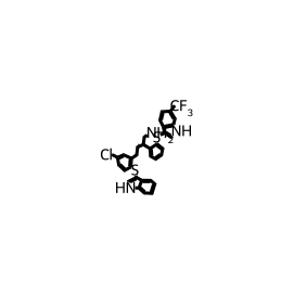 NC[C](CCc1cc(Cl)ccc1Sc1c[nH]c2ccccc12)c1ccccc1Sc1c[nH]c2cc(C(F)(F)F)ccc12